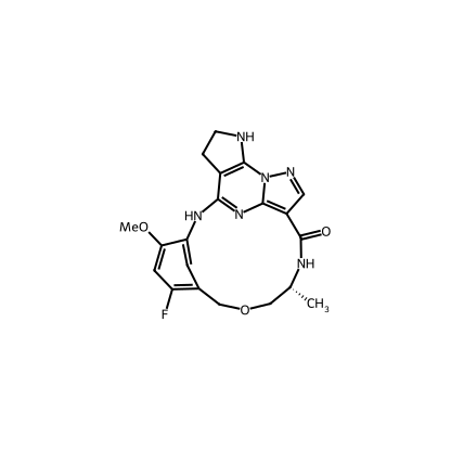 COc1cc(F)c2cc1Nc1nc3c(cnn3c3c1CCN3)C(=O)N[C@H](C)COC2